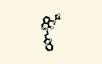 CN(c1cccc2cnn(CCc3cn4ccccc4n3)c(=O)c12)C1COC1